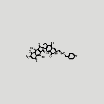 COC1=CC(=O)c2c(O)c3c(c(O)c2C1=O)C(=O)[C@]1(CCc2c1c(O)c1c(=O)[nH]c(C=NOCc4ccc(F)cc4)cc1c2Cl)C3=O